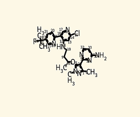 Cc1nn(C)c(O[C@H](C)CCNc2cc(Cl)ncc2-c2ccc(C(C)(C)F)cn2)c1-c1nccc(N)n1